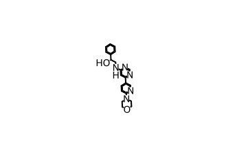 O[C@@H](CNc1cc(-c2ccc(N3CCOCC3)nc2)ncn1)c1ccccc1